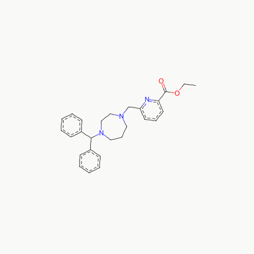 CCOC(=O)c1cccc(CN2CCCN(C(c3ccccc3)c3ccccc3)CC2)n1